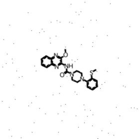 COc1nc2ccccc2nc1NC(=O)N1CCN(c2ccccc2SC)CC1